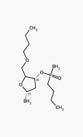 B[C@H]1C[C@@H](OP(B)(=O)CCCC)C(COCCCC)O1